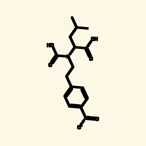 CC(C)CC(C(=O)O)N(CCc1ccc([N+](=O)[O-])cc1)C(=O)O